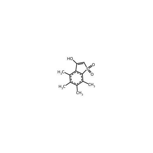 Cc1c(C)c(C)c2c(c1C)C(O)=CS2(=O)=O